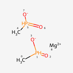 C[PH](=O)[O-].C[PH](=O)[O-].[Mg+2]